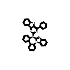 c1ccc(-c2nc(N3c4ccccc4-c4ccccc4-n4c3nc3ccccc34)nc3c2oc2ccccc23)cc1